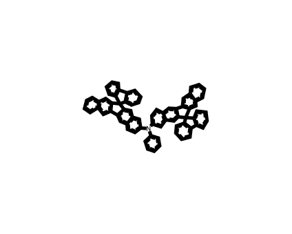 c1ccc(N(c2ccc3cc4c(cc3c2)C2(c3ccccc3-c3ccccc32)c2cc3ccccc3cc2-4)c2ccc3cc4c(cc3c2)C2(c3ccccc3-c3ccccc32)c2cc3ccccc3cc2-4)cc1